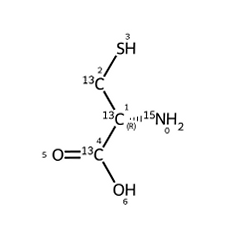 [15NH2][13C@@H]([13CH2]S)[13C](=O)O